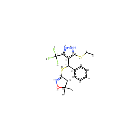 CCSc1[nH]nc(C(F)(F)F)c1C(SC1=NOC(C)(C)C1)c1ccccc1